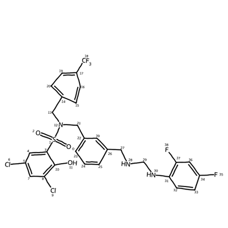 O=S(=O)(c1cc(Cl)cc(Cl)c1O)N(Cc1ccc(C(F)(F)F)cc1)Cc1cccc(CNCNc2ccc(F)cc2F)c1